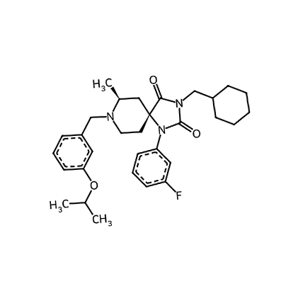 CC(C)Oc1cccc(CN2CC[C@@]3(C[C@@H]2C)C(=O)N(CC2CCCCC2)C(=O)N3c2cccc(F)c2)c1